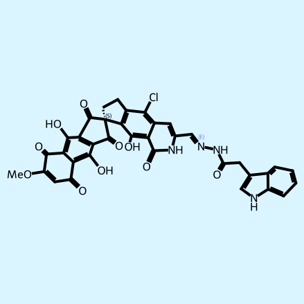 COC1=CC(=O)c2c(O)c3c(c(O)c2C1=O)C(=O)[C@]1(CCc2c1c(O)c1c(=O)[nH]c(/C=N/NC(=O)Cc4c[nH]c5ccccc45)cc1c2Cl)C3=O